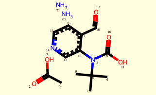 CC(=O)O.CC(C)(C)N(C(=O)O)c1cnccc1C=O.N.N